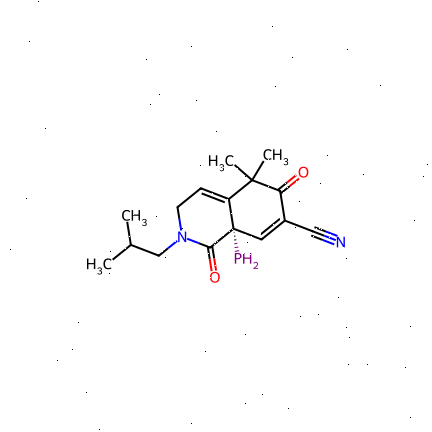 CC(C)CN1CC=C2C(C)(C)C(=O)C(C#N)=C[C@@]2(P)C1=O